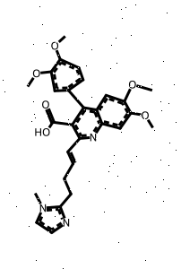 COc1ccc(-c2c(C(=O)O)c(/C=C/CCc3nccn3C)nc3cc(OC)c(OC)cc23)cc1OC